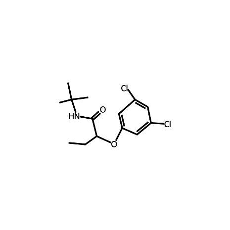 CCC(Oc1cc(Cl)cc(Cl)c1)C(=O)NC(C)(C)C